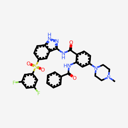 CN1CCN(c2ccc(C(=O)Nc3n[nH]c4ccc(S(=O)(=O)c5cc(F)cc(F)c5)cc34)c(NC(=O)c3ccccc3)c2)CC1